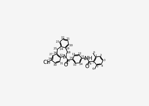 Cc1cccc(C)c1C(=O)Nc1ccc(C(=O)N2Cc3ccccc3Cc3cc(Cl)ccc32)cc1